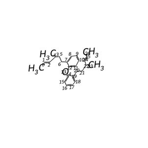 CC=CC(C)CCc1ccccc1Oc1ccccc1CCC(C)C=CC